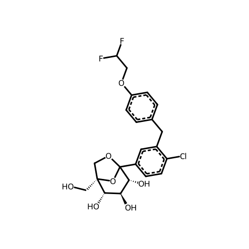 OC[C@]12COC(c3ccc(Cl)c(Cc4ccc(OCC(F)F)cc4)c3)(O1)[C@H](O)[C@@H](O)[C@@H]2O